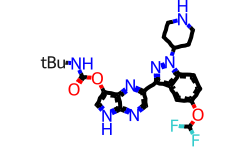 CC(C)(C)NC(=O)Oc1c[nH]c2ncc(-c3nn(C4CCNCC4)c4ccc(OC(F)F)cc34)nc12